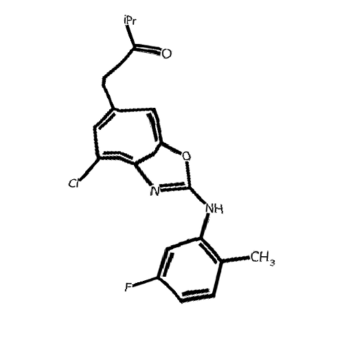 Cc1ccc(F)cc1Nc1nc2c(Cl)cc(CC(=O)C(C)C)cc2o1